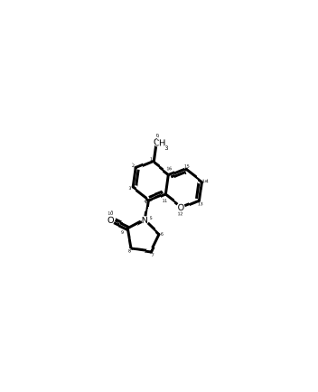 CC1C=CC(N2CCCC2=O)=C2OC=CC=C21